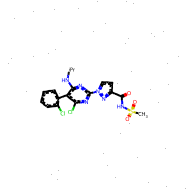 CC(C)Nc1nc(-n2ccc(C(=O)NS(C)(=O)=O)n2)nc(Cl)c1-c1ccccc1Cl